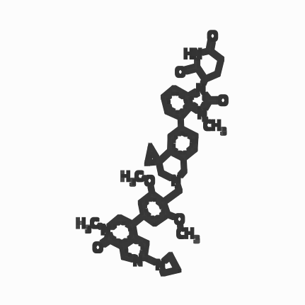 COc1cc(-c2cn(C)c(=O)c3cnc(N4CCC4)cc23)cc(OC)c1CN1Cc2ccc(-c3cccc4c3n(C)c(=O)n4C3CCC(=O)NC3=O)cc2C2(CC2)C1